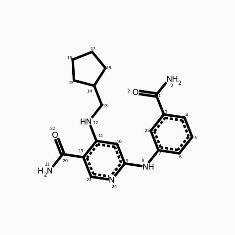 NC(=O)c1cccc(Nc2cc(NCC3CCCC3)c(C(N)=O)cn2)c1